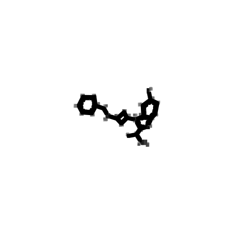 CC(N)c1nc2ccc(F)cc2n1C1CC(OCc2ccccc2)C1